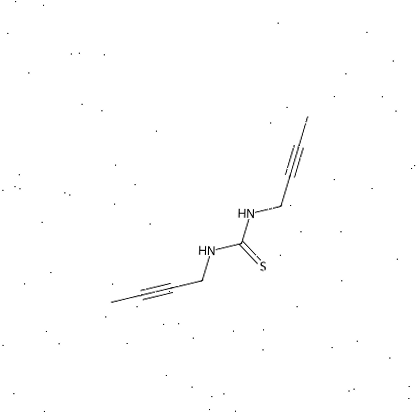 CC#CCNC(=S)NCC#CC